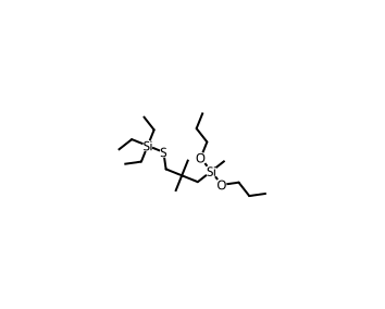 CCCO[Si](C)(CC(C)(C)CS[Si](CC)(CC)CC)OCCC